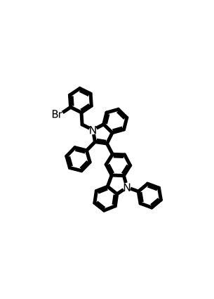 Brc1ccccc1Cn1c(-c2ccccc2)c(-c2ccc3c(c2)c2ccccc2n3-c2ccccc2)c2ccccc21